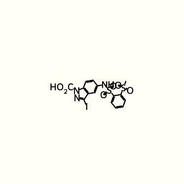 CS(=O)(=O)c1ccccc1S(=O)(=O)Nc1ccc2c(c1)c(I)nn2C(=O)O